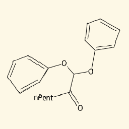 CCCCCC(=O)C(Oc1ccccc1)Oc1ccccc1